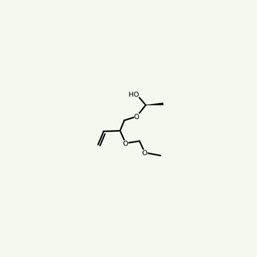 C=CC(CO[C@H](C)O)OCOC